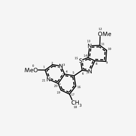 COc1cnc2c(-c3nc4ccc(OC)nc4s3)cc(C)cc2n1